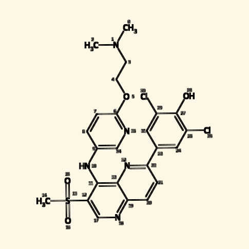 CN(C)CCOc1ccc(Nc2c(S(C)(=O)=O)cnc3ccc(-c4cc(Cl)c(O)c(Cl)c4)nc23)cn1